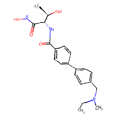 CCN(C)Cc1ccc(-c2ccc(C(=O)N[C@H](C(=O)NO)[C@@H](C)O)cc2)cc1